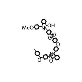 COc1ccc(C2=NN(c3ccc(S(=O)(=O)c4ccc(Oc5ccc(-c6nn(-c7ccc(C(=O)c8ccc(C)cc8)cc7)c(=O)c7ccccc67)cc5)cc4)cc3)C(O)c3ccccc32)cc1